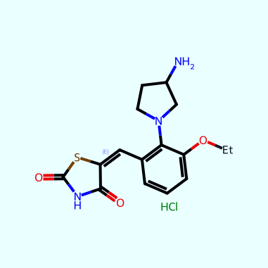 CCOc1cccc(/C=C2/SC(=O)NC2=O)c1N1CCC(N)C1.Cl